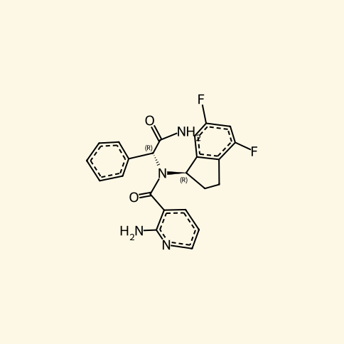 NC(=O)[C@@H](c1ccccc1)N(C(=O)c1cccnc1N)[C@@H]1CCc2c(F)cc(F)cc21